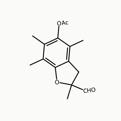 CC(=O)Oc1c(C)c(C)c2c(c1C)CC(C)(C=O)O2